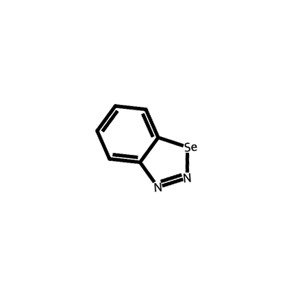 c1ccc2[se]nnc2c1